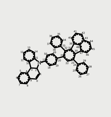 C1=CC2C(c3ccccc31)c1ccccc1N2c1ccc(-c2cc(-c3ccccc3)c3c(c2-c2ccccc2)-c2cccc4cccc-3c24)cc1